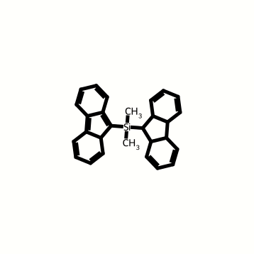 C[Si](C)(C1=c2ccccc2=C2C=CC=CC21)C1C2C=CC=CC2C2C=CC=CC21